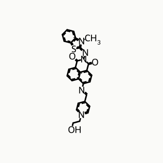 Cn1/c(=N/N2C(=O)c3cccc4c(/N=C/c5cc[n+](CCO)cc5)ccc(c34)C2=O)sc2ccccc21